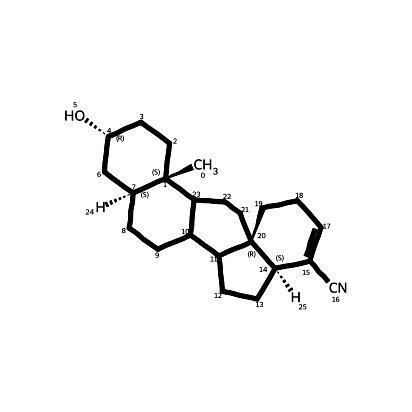 C[C@]12CC[C@@H](O)C[C@@H]1CCC1C3CC[C@@H]4C(C#N)=CCC[C@]34CCC12